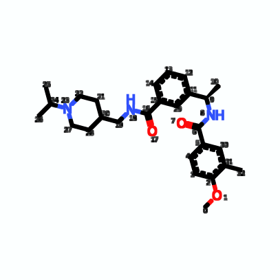 COc1ccc(C(=O)N[C@H](C)c2cccc(C(=O)NCC3CCN(C(C)C)CC3)c2)cc1C